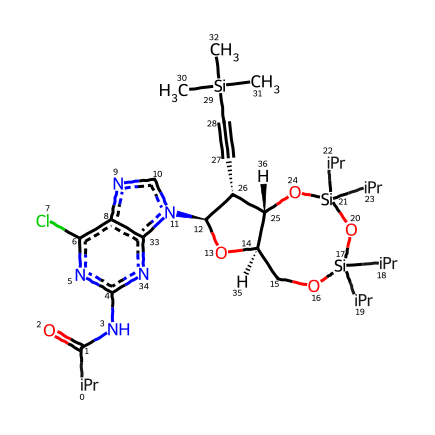 CC(C)C(=O)Nc1nc(Cl)c2ncn([C@@H]3O[C@@H]4CO[Si](C(C)C)(C(C)C)O[Si](C(C)C)(C(C)C)O[C@H]4[C@H]3C#C[Si](C)(C)C)c2n1